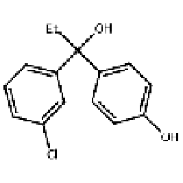 CCC(O)(c1ccc(O)cc1)c1cccc(Cl)c1